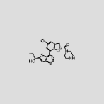 CCC(O)c1cc2ncnc(-c3cc(Cl)cc4c3O[C@@H](C(=O)N3CCNCC3)C4)c2s1